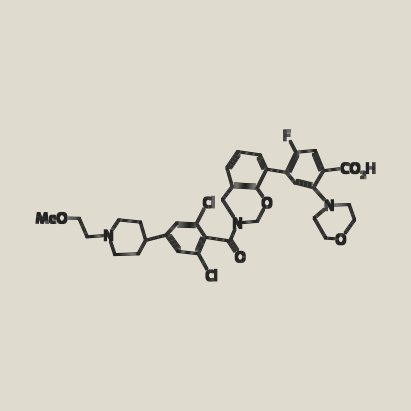 COCCN1CCC(c2cc(Cl)c(C(=O)N3COc4c(cccc4-c4cc(N5CCOCC5)c(C(=O)O)cc4F)C3)c(Cl)c2)CC1